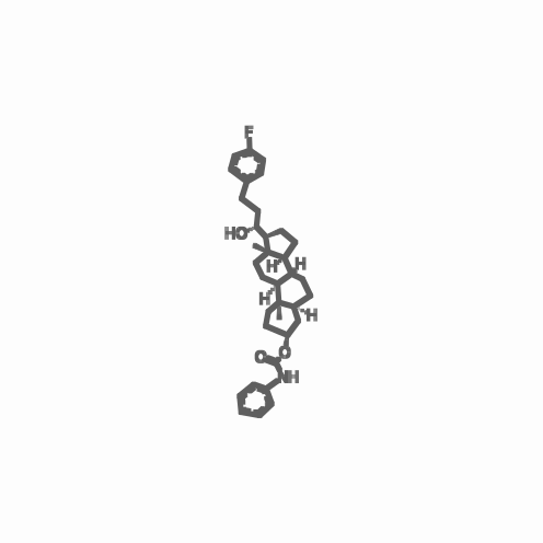 C[C@]12CC[C@H](OC(=O)Nc3ccccc3)C[C@@H]1CC[C@@H]1[C@@H]2CC[C@]2(C)[C@@H]([C@H](O)CCc3ccc(F)cc3)CC[C@@H]12